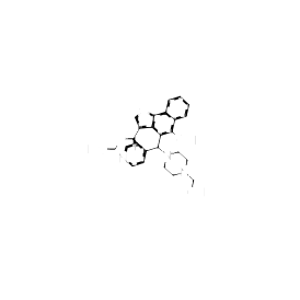 CCN1CCN(C(c2ccncc2)c2c(O)c3ccccc3c3occ(C(=O)OCO)c23)CC1